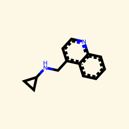 c1ccc2c(CNC3CC3)ccnc2c1